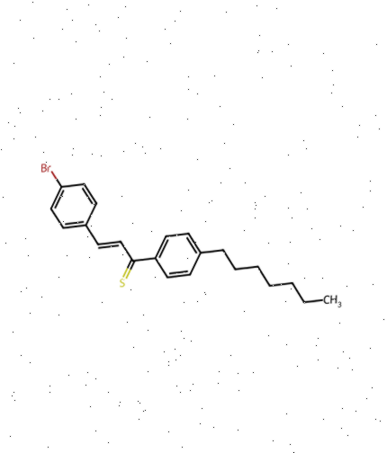 CCCCCCCc1ccc(C(=S)C=Cc2ccc(Br)cc2)cc1